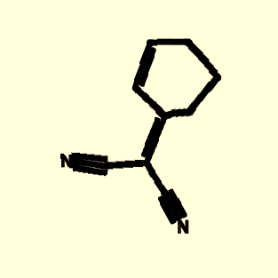 N#CC(C#N)=C1C=CCCC1